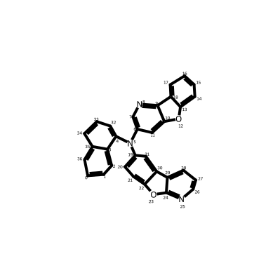 c1ccc2c(N(c3cnc4c(c3)oc3ccccc34)c3ccc4oc5ncccc5c4c3)cccc2c1